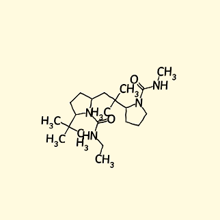 CCNC(=O)N1C(CC(C)(C)C2CCCN2C(=O)NC)CCC1C(C)(C)C